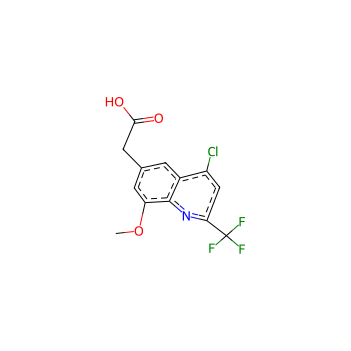 COc1cc(CC(=O)O)cc2c(Cl)cc(C(F)(F)F)nc12